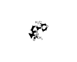 C[C@H]1COCCN1c1nccc(C2(S(C)(=O)=O)CC2)n1